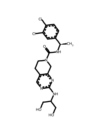 C[C@@H](NC(=O)N1CCc2cnc(NC(CO)CO)nc2C1)c1ccc(Cl)c(Cl)c1